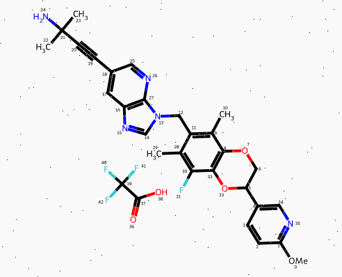 COc1ccc(C2COc3c(C)c(Cn4cnc5cc(C#CC(C)(C)N)cnc54)c(C)c(F)c3O2)cn1.O=C(O)C(F)(F)F